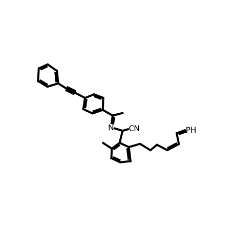 C/C(=N\C(C#N)c1c(C)cccc1CCC/C=C\C=P)c1ccc(C#Cc2ccccc2)cc1